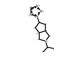 CC(C)N1CC2CC(n3ncnn3)CC2C1